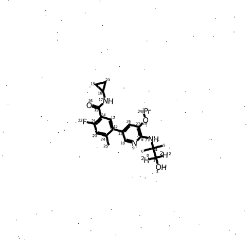 [2H]C([2H])(O)C(C)(C)Nc1ncc(-c2cc(C(=O)NC3CC3)c(F)cc2C)cc1OC(C)C